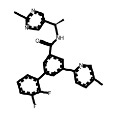 Cc1ccc(-c2cc(C(=O)N[C@H](C)c3cnc(C)nc3)cc(-c3cccc(F)c3F)c2)nc1